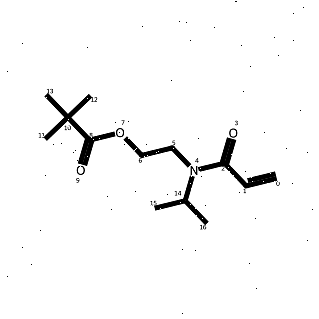 C=CC(=O)N(CCOC(=O)C(C)(C)C)C(C)C